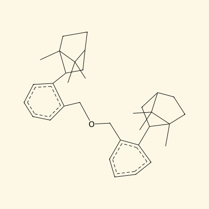 CC1(C)C2CCC1(C)C(c1ccccc1COCc1ccccc1C1CC3CCC1(C)C3(C)C)C2